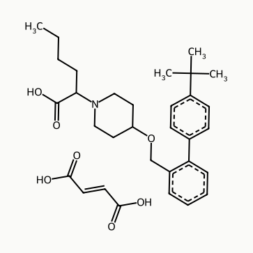 CCCCC(C(=O)O)N1CCC(OCc2ccccc2-c2ccc(C(C)(C)C)cc2)CC1.O=C(O)C=CC(=O)O